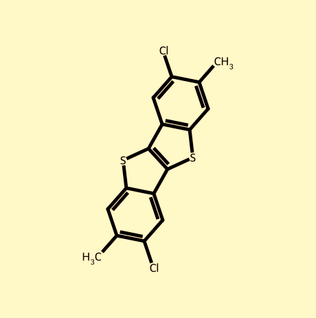 Cc1cc2sc3c4cc(Cl)c(C)cc4sc3c2cc1Cl